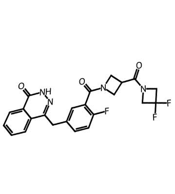 O=C(c1cc(Cc2n[nH]c(=O)c3ccccc23)ccc1F)N1CC(C(=O)N2CC(F)(F)C2)C1